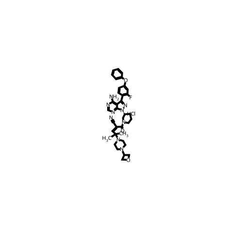 CC(C)(/C=C(/C#N)C(=O)N1CCC[C@@H](n2nc(-c3ccc(Oc4ccccc4)cc3F)c3c(N)ncnc32)C1)N1CCN(C2COC2)CC1.Cl